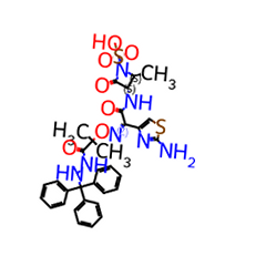 C[C@H]1[C@H](NC(=O)/C(=N\OC(C)(C)C(=O)NNC(c2ccccc2)(c2ccccc2)c2ccccc2)c2csc(N)n2)C(=O)N1S(=O)(=O)O